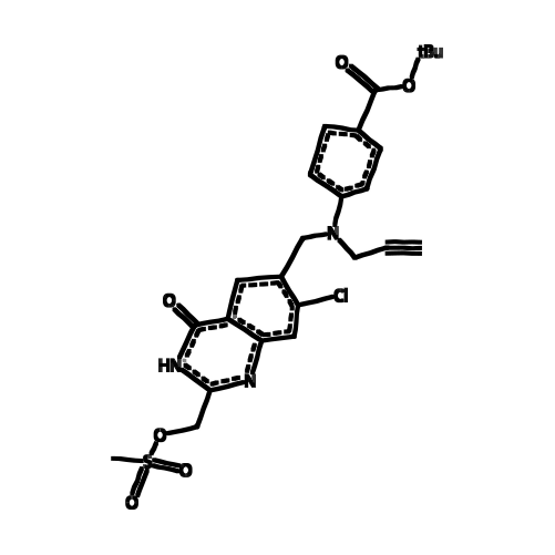 C#CCN(Cc1cc2c(=O)[nH]c(COS(C)(=O)=O)nc2cc1Cl)c1ccc(C(=O)OC(C)(C)C)cc1